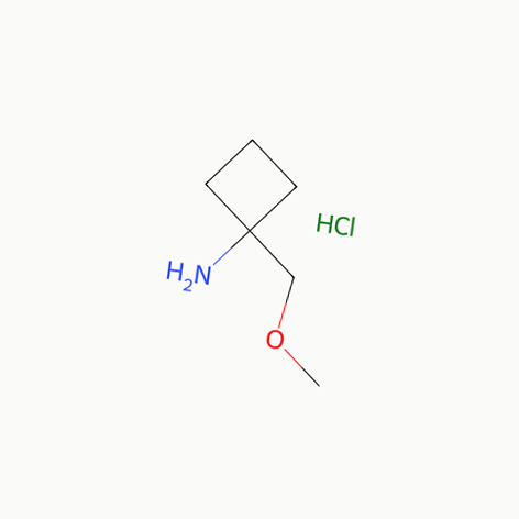 COCC1(N)CCC1.Cl